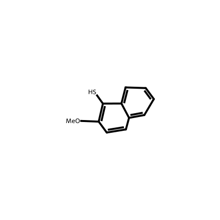 COc1ccc2ccccc2c1S